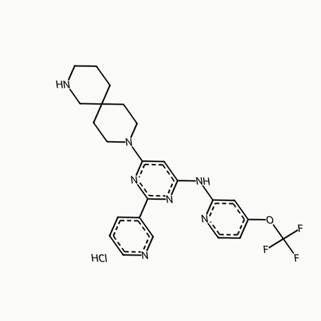 Cl.FC(F)(F)Oc1ccnc(Nc2cc(N3CCC4(CCCNC4)CC3)nc(-c3cccnc3)n2)c1